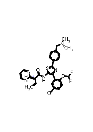 C=C/C(C(=O)Nc1sc(-c2ccc(CN(C)C)cc2)nc1-c1cc(Cl)ccc1OC(F)F)=C1/N=CC=CN1